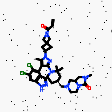 C=CC(=O)N1CC2(CC(n3nc(N4CC[C@@H](CN5CCN6C(=O)N(C)CC6C5)CC4(C)C)c(-c4c(Cl)c(Cl)cc5[nH]ncc45)c3C)C2)C1